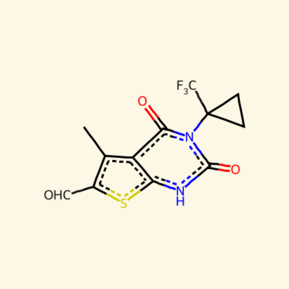 Cc1c(C=O)sc2[nH]c(=O)n(C3(C(F)(F)F)CC3)c(=O)c12